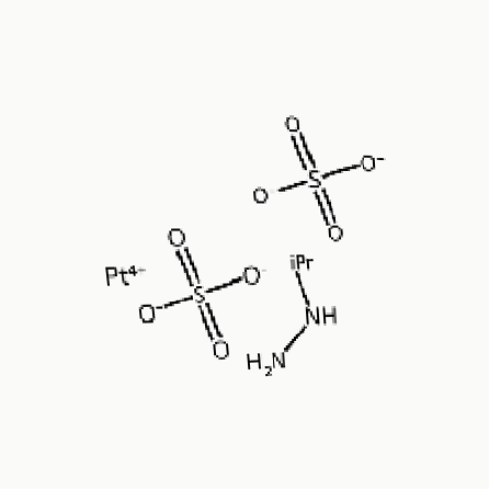 CC(C)NN.O=S(=O)([O-])[O-].O=S(=O)([O-])[O-].[Pt+4]